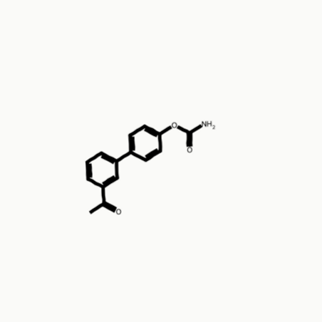 CC(=O)c1cccc(-c2ccc(OC(N)=O)cc2)c1